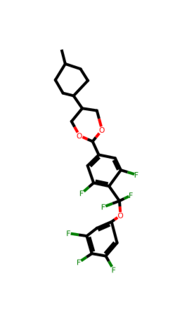 CC1CCC(C2COC(c3cc(F)c(C(F)(F)Oc4cc(F)c(F)c(F)c4)c(F)c3)OC2)CC1